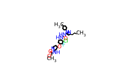 CCCCc1cc(NC(=O)Nc2ccc(Oc3ccnc(NC(=O)COC)c3)c(F)c2Cl)n(-c2ccc(C)cc2)n1